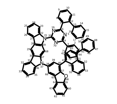 c1ccc(-c2nc(-c3ccccc3-c3ccccc3)nc(-n3c4ccccc4c4cc5c6ccccc6n(-c6cc(-c7ccc(-c8ccccc8)c8ccccc78)c7oc8ccccc8c7c6)c5cc43)n2)cc1